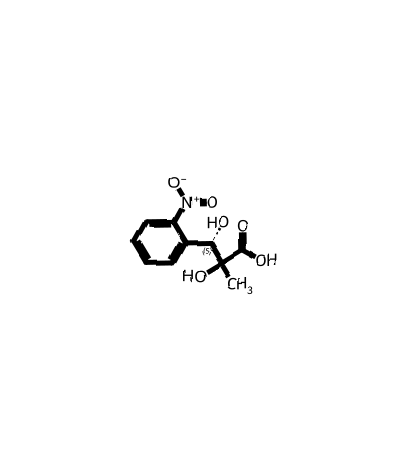 CC(O)(C(=O)O)[C@@H](O)c1ccccc1[N+](=O)[O-]